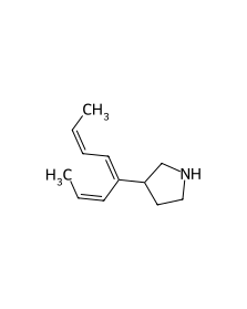 C\C=C/C=C(\C=C/C)C1CCNC1